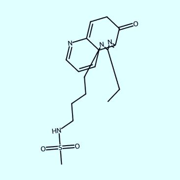 CCC1N=C2C(=O)CC=C3N=CC=CC32N1CCCCNS(C)(=O)=O